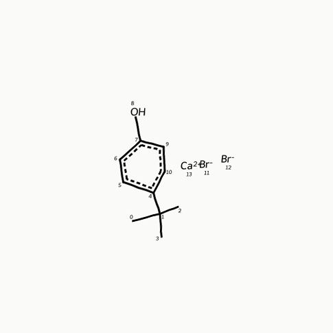 CC(C)(C)c1ccc(O)cc1.[Br-].[Br-].[Ca+2]